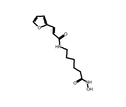 O=C(/C=C/c1ccco1)NCCCCCC(=O)NO